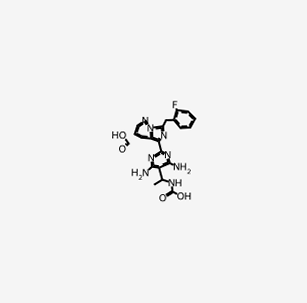 CC(NC(=O)O)c1c(N)nc(-c2nc(Cc3ccccc3F)n3ncccc23)nc1N.O=CO